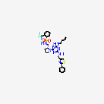 C=CCCNc1nc(NCc2csc(-c3ccccc3)n2)nc(N2CCC[C@@H]2CNS(=O)(=O)c2ccccc2C(F)(F)F)n1